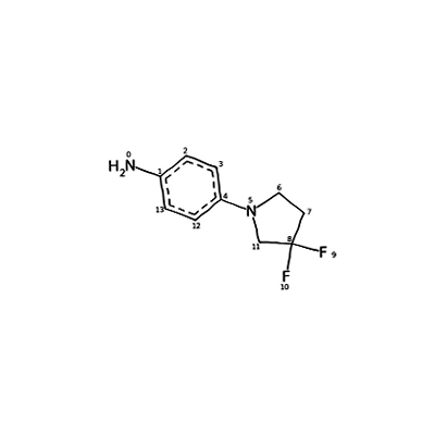 Nc1ccc(N2CCC(F)(F)C2)cc1